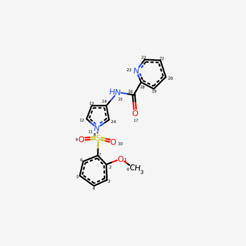 COc1ccccc1S(=O)(=O)n1ccc(NC(=O)c2ccccn2)c1